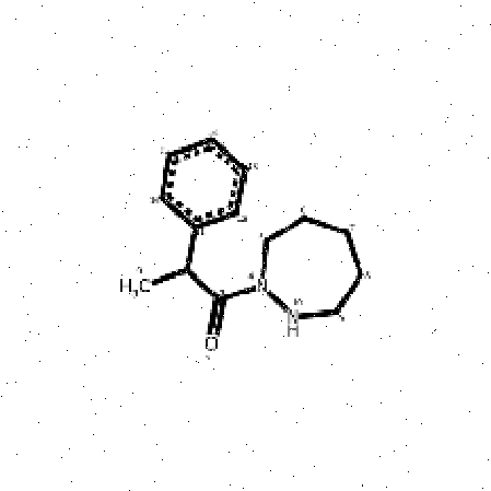 CC(C(=O)N1CCCCCN1)c1ccccc1